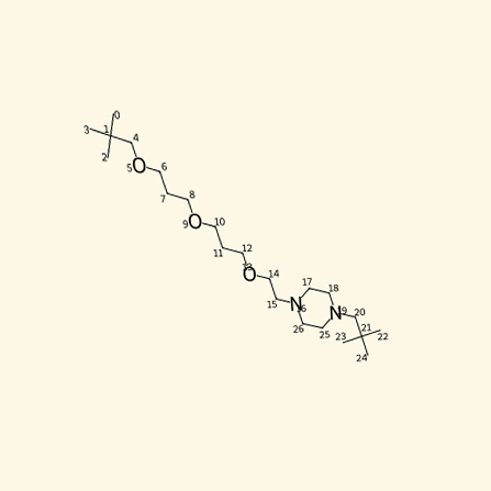 CC(C)(C)COCCCOCCCOCCN1CCN(CC(C)(C)C)CC1